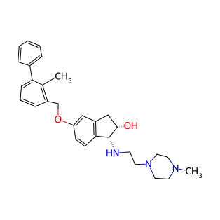 Cc1c(COc2ccc3c(c2)C[C@H](O)[C@@H]3NCCN2CCN(C)CC2)cccc1-c1ccccc1